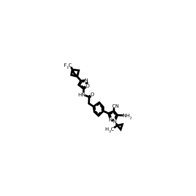 CC1(n2nc(-c3ccc(CC(=O)Nc4cc(C56CC(C(F)(F)F)(C5)C6)no4)cc3)c(C#N)c2N)CC1